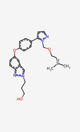 C[SiH](C)CCOCn1nccc1-c1ccc(Oc2ccc3nn(CCCO)cc3c2)cc1